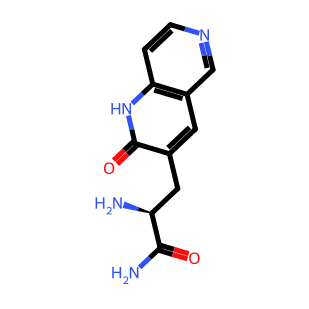 NC(=O)[C@@H](N)Cc1cc2cnccc2[nH]c1=O